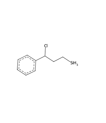 [SiH3]CCC(Cl)c1ccccc1